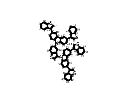 c1ccc2c(-c3ccc4c(c3)c3cc(-c5csc6ccccc56)ccc3n4-c3ccc4scc(-n5c6ccc(-c7csc8ccccc78)cc6c6cc(-c7csc8ccccc78)ccc65)c4c3)csc2c1